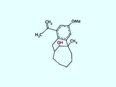 C=C(C)c1cc(OC)cc2c1CC1CCCCCC2(C)C1O